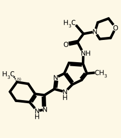 Cc1cc2[nH]c(-c3n[nH]c4c3C[C@@H](C)CC4)nc2cc1NC(=O)C(C)N1CCOCC1